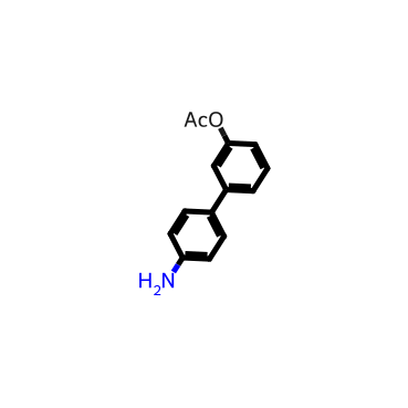 CC(=O)Oc1cccc(-c2ccc(N)cc2)c1